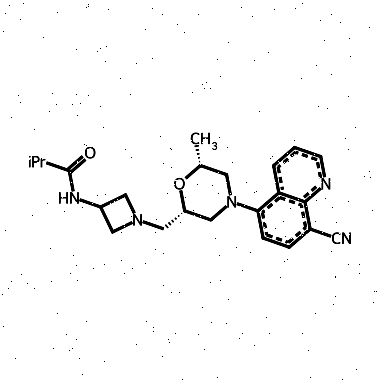 CC(C)C(=O)NC1CN(C[C@H]2CN(c3ccc(C#N)c4ncccc34)C[C@@H](C)O2)C1